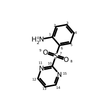 Nc1ccccc1S(=O)(=O)c1ncccn1